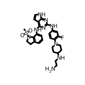 CS(=O)(=O)N1CCc2cccc(Nc3nc(Nc4ccc(N5CCC(NCCN)CC5)c(F)c4)nc4[nH]ccc34)c21